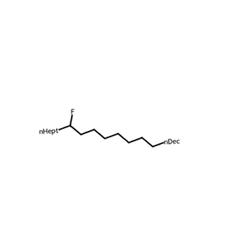 CCCCCCCCCCCCCCCCC[C](F)CCCCCCC